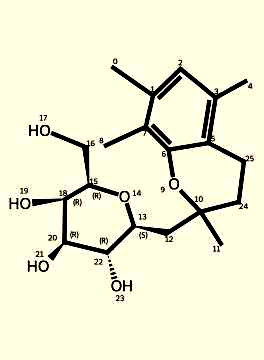 Cc1cc(C)c2c(c1C)OC(C)(C[C@@H]1O[C@H](CO)[C@H](O)[C@H](O)[C@H]1O)CC2